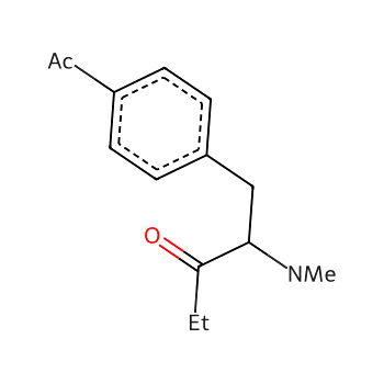 CCC(=O)C(Cc1ccc(C(C)=O)cc1)NC